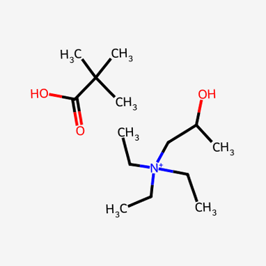 CC(C)(C)C(=O)O.CC[N+](CC)(CC)CC(C)O